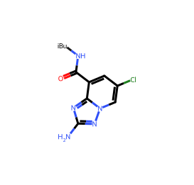 CCC(C)NC(=O)c1cc(Cl)cn2nc(N)nc12